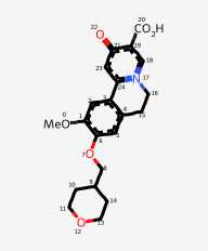 COc1cc2c(cc1OCC1CCOCC1)CCn1cc(C(=O)O)c(=O)cc1-2